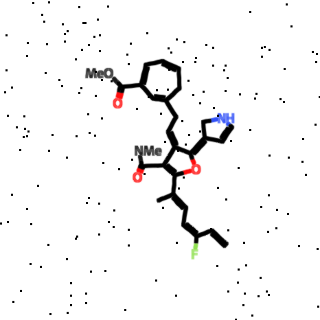 C=C/C(F)=C\C=C(/C)c1oc(=C2\C=CNC2)/c(=C\CC2=CC(C(=O)OC)=CC=CC2)c1C(=O)NC